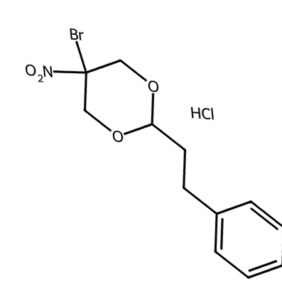 Cl.O=[N+]([O-])C1(Br)COC(CCc2ccccc2)OC1